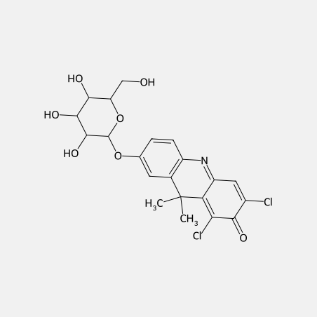 CC1(C)C2=C(Cl)C(=O)C(Cl)=CC2=Nc2ccc(OC3OC(CO)C(O)C(O)C3O)cc21